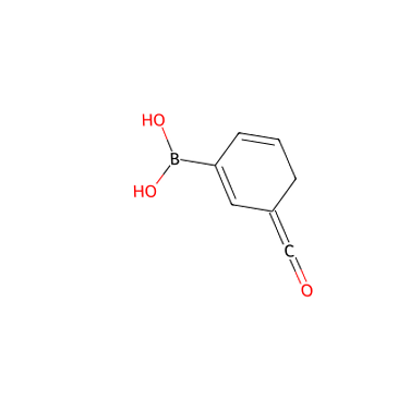 O=C=C1C=C(B(O)O)C=CC1